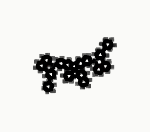 c1ccc(-c2ccc(N(c3ccccc3)c3ccc4cc5c(cc4c3)C3(c4cc6cc(N(c7ccccc7)c7ccc(-c8ccccc8)cc7-c7ccccc7)ccc6cc4-5)c4ccccc4-c4c3ccc3ccccc43)c(-c3ccccc3)c2)cc1